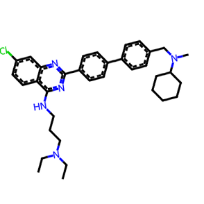 CCN(CC)CCCNc1nc(-c2ccc(-c3ccc(CN(C)C4CCCCC4)cc3)cc2)nc2cc(Cl)ccc12